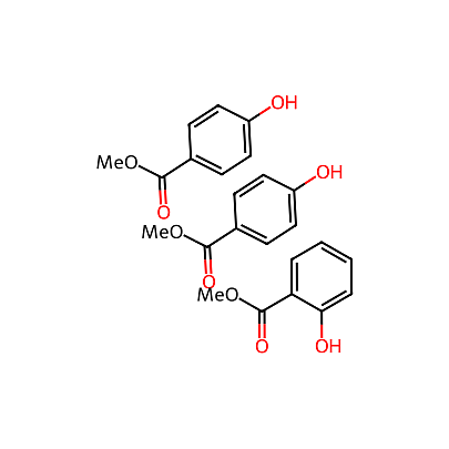 COC(=O)c1ccc(O)cc1.COC(=O)c1ccc(O)cc1.COC(=O)c1ccccc1O